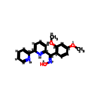 COc1ccc(/C(=N/O)c2cccc(-c3ccccn3)n2)c(OC)c1